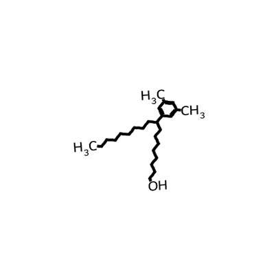 CCCCCCCCCC(CCCCCCCCO)c1cc(C)cc(C)c1